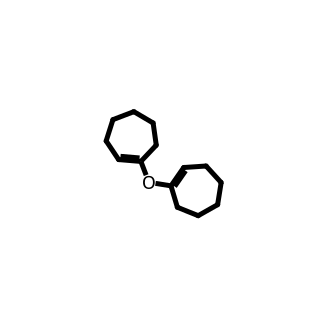 C1=C(OC2=CCCCCC2)CCCCC1